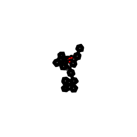 CC1(C)c2cc(-c3ccccc3)ccc2-c2ccc(N(c3ccc(-c4cccc5c4-c4ccccc4C54c5ccccc5-c5ccccc54)cc3)c3cccc4c3-c3ccccc3C43c4ccccc4-c4ccccc43)cc21